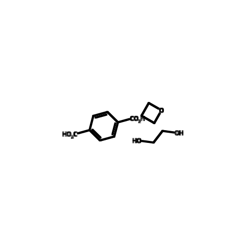 C1COC1.O=C(O)c1ccc(C(=O)O)cc1.OCCO